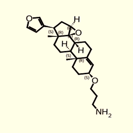 C[C@]12CC[C@H](OCCCN)C=C1CC[C@@H]1[C@@H]2CC[C@]2(C)[C@@H](c3ccoc3)C[C@H]3O[C@]132